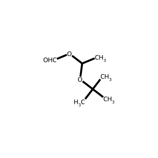 CC(OC=O)OC(C)(C)C